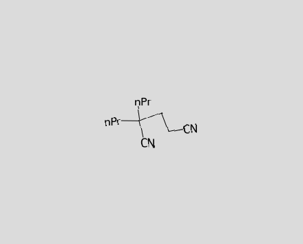 CCCC(C#N)(CCC)CCC#N